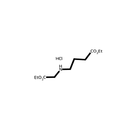 CCOC(=O)CCCNCC(=O)OCC.Cl